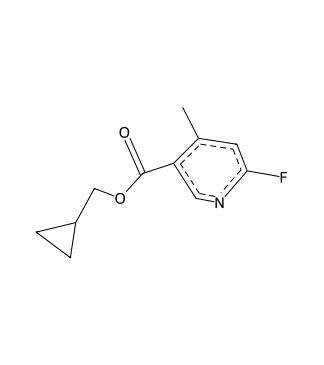 Cc1cc(F)ncc1C(=O)OCC1CC1